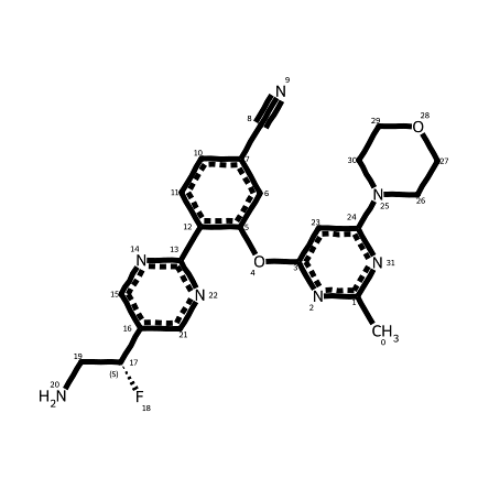 Cc1nc(Oc2cc(C#N)ccc2-c2ncc([C@H](F)CN)cn2)cc(N2CCOCC2)n1